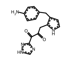 Nc1ccc(Cc2cc[nH]c2CC(=O)C(=O)c2nc[nH]n2)cc1